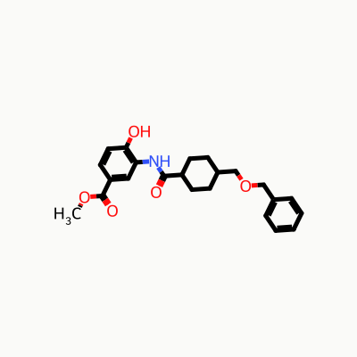 COC(=O)c1ccc(O)c(NC(=O)C2CCC(COCc3ccccc3)CC2)c1